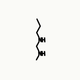 CCCNCNC